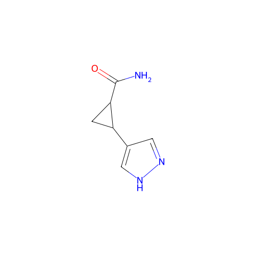 NC(=O)C1CC1c1cn[nH]c1